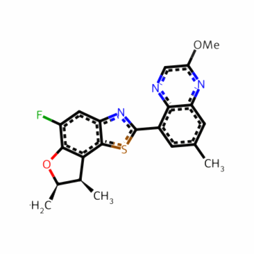 [CH2][C@H]1Oc2c(F)cc3nc(-c4cc(C)cc5nc(OC)cnc45)sc3c2[C@H]1C